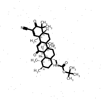 C[C@@H]1[C@H]2[C@H]3C(=O)C=C4[C@@]5(C)C=C(C#N)C(=O)C(C)(C)[C@@H]5CC[C@@]4(C)[C@]3(C)CC[C@@]2(CNC(=O)OC(C)(C)C)CC[C@H]1C